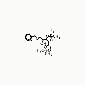 CC1(C)O[C@H]([C@H](O)COCc2ccccc2F)[C@@H]([C@H]2COC(C)(C)O2)O1